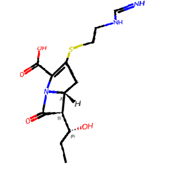 CC[C@@H](O)[C@H]1C(=O)N2C(C(=O)O)=C(SCCNC=N)C[C@H]12